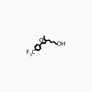 Cc1oc(-c2ccc(C(F)(F)F)cc2)cc1CCCCO